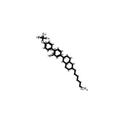 CCCCCCCC1CCC2CC(c3ccc(-c4ccc(OC(F)(F)F)cc4)c(F)c3)CCC2C1